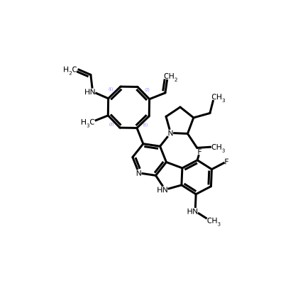 C=CNC1=C/C=C(C=C)\C=C(c2cnc3[nH]c4c(NC)cc(F)c(F)c4c3c2N2CCC(CC)C2CC)/C=C\1C